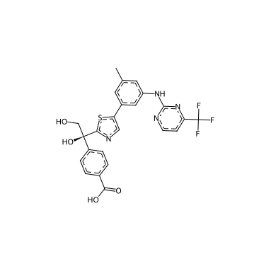 Cc1cc(Nc2nccc(C(F)(F)F)n2)cc(-c2cnc([C@@](O)(CO)c3ccc(C(=O)O)cc3)s2)c1